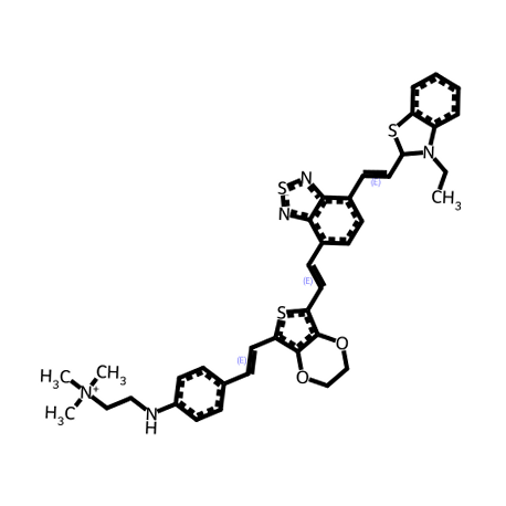 CCN1c2ccccc2SC1/C=C/c1ccc(/C=C/c2sc(/C=C/c3ccc(NCC[N+](C)(C)C)cc3)c3c2OCCO3)c2nsnc12